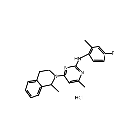 Cc1cc(N2CCc3ccccc3C2C)nc(Nc2ccc(F)cc2C)n1.Cl